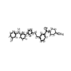 Cc1ccnc(Nc2cccc(-c3cnc(CCc4cccc(C(=O)N5CCC(O)CC5)c4)s3)n2)c1